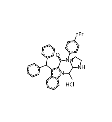 CCCc1ccc(NC(=O)c2c(C(c3ccccc3)c3ccccc3)c3ccccc3n2C(C)C2CCCN2)cc1.Cl